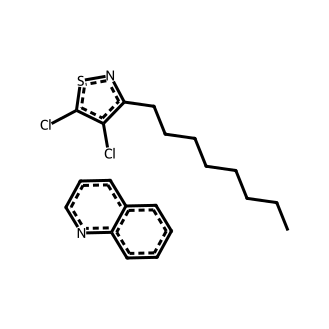 CCCCCCCCc1nsc(Cl)c1Cl.c1ccc2ncccc2c1